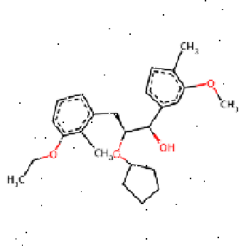 CCOc1cccc(C[C@H](OC2CCCC2)[C@H](O)c2ccc(C)c(OC)c2)c1C